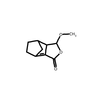 COC1OC(=O)C2=C3CCC(C3)C21